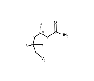 CC(=O)CC(C)(C)C[C@H](C)CC(N)=O